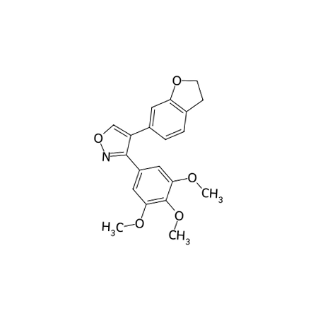 COc1cc(-c2nocc2-c2ccc3c(c2)OCC3)cc(OC)c1OC